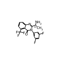 C[C@H](N)c1nc2cccc(C(F)(F)F)c2c(=O)n1-c1cc(F)cc(F)c1